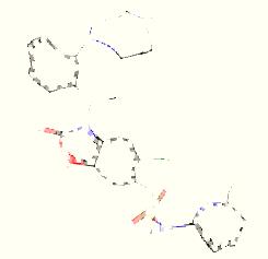 C[C@H](c1ccccc1N1CCNCC1)n1c(=O)oc2cc(S(=O)(=O)Nc3cccc(F)n3)c(F)cc21